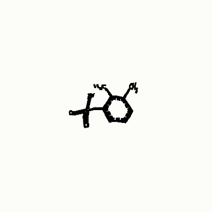 Cc1cccc(S(=O)(=O)Br)c1C